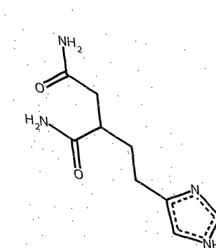 NC(=O)CC(CCc1c[nH]cn1)C(N)=O